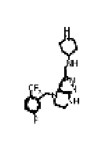 Fc1ccc(C(F)(F)F)c(CN2CCNc3nnc(CNC4CCNCC4)cc32)c1